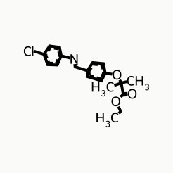 CCOC(=O)C(C)(C)Oc1ccc(C=Nc2ccc(Cl)cc2)cc1